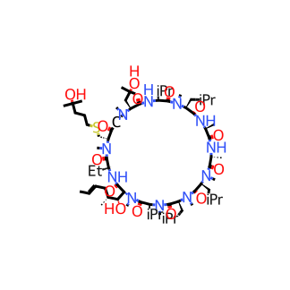 C/C=C/C[C@@H](C)[C@@H](O)[C@H]1C(=O)N[C@@H](CC)C(=O)N(C)[C@H](CSCCCC(C)(C)O)C(=O)CN(C)[C@@H](CC(C)(C)O)C(=O)N[C@@H](C(C)C)C(=O)N(C)[C@@H](CC(C)C)C(=O)N[C@@H](C)C(=O)N[C@H](C)C(=O)N(C)[C@@H](CC(C)C)C(=O)N(C)[C@@H](CC(C)C)C(=O)N(C)[C@@H](C(C)C)C(=O)N1C